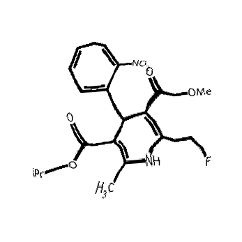 COC(=O)C1=C(CF)NC(C)=C(C(=O)OC(C)C)C1c1ccccc1[N+](=O)[O-]